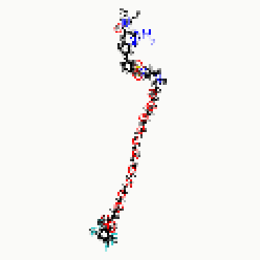 CCCN(CCC)C(=O)C1=Cc2ccc(-c3cccc(S(=O)(=O)N4CC(CN(C)CCOCCOCCOCCOCCOCCOCCOCCOCCOCCOCCC(=O)Oc5c(F)c(F)cc(F)c5F)C4)c3)cc2N=C(N)C1